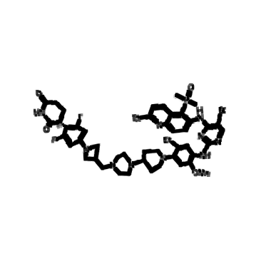 CCc1ccc2c(P(C)(C)=O)c(Nc3nc(Nc4cc(CC)c(N5CCC(N6CCN(CC7CN(c8cc(F)c([C@H]9CCC(=O)NC9=O)c(F)c8)C7)CC6)CC5)cc4OC)ncc3Br)ccc2n1